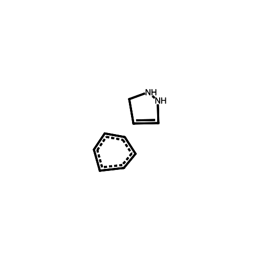 C1=CNNC1.c1ccccc1